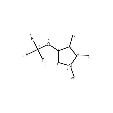 CC1C(OC(F)(F)F)CN(C)C1C